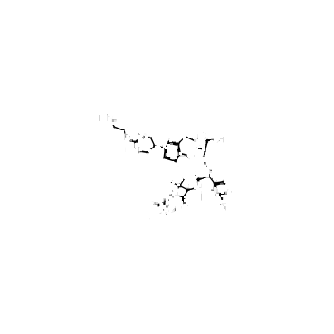 CC1(C)C(NC(=O)/C(=N\O[C@](C)(C(=O)O)[C@H]2CCc3cc(C4CN=C(NCCN)NC4)ccc3O2)c2csc(N)n2)C(=O)N1OS(=O)(=O)O